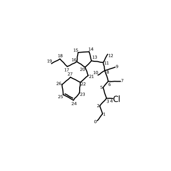 CCCC(Cl)CC(C)C(C)(C)C(C)C1CCC(CCC)C1CC1CC=CCC1